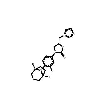 O=C1O[C@@H](Cn2ccnn2)CN1c1ccc(N2[C@@H]3CC[C@H]2CSC3)c(F)c1